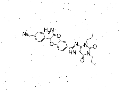 CCCn1c(=O)c2[nH]c(-c3ccc(OC(C(N)=O)c4ccc(C#N)cc4)cc3)nc2n(CCC)c1=O